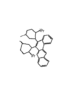 CC1CCC(C(C)C)C(c2c(C3CC(C)CCC3C(C)C)c3cc4ccccc4cc3c3ccccc23)C1